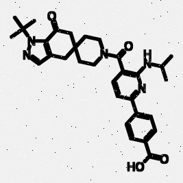 CC(C)Nc1nc(-c2ccc(C(=O)O)cc2)ccc1C(=O)N1CCC2(CC1)CC(=O)c1c(cnn1C(C)(C)C)C2